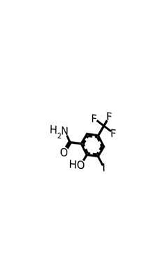 NC(=O)c1cc(C(F)(F)F)cc(I)c1O